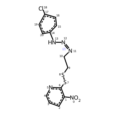 O=[N+]([O-])c1cccnc1SSCC/N=N\Nc1ccc(Cl)cc1